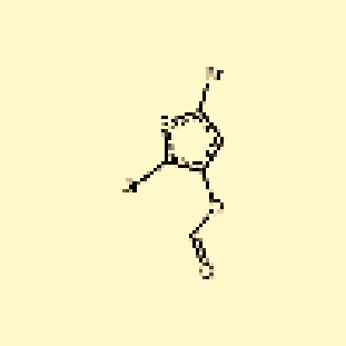 O=COc1cc(Br)sc1Br